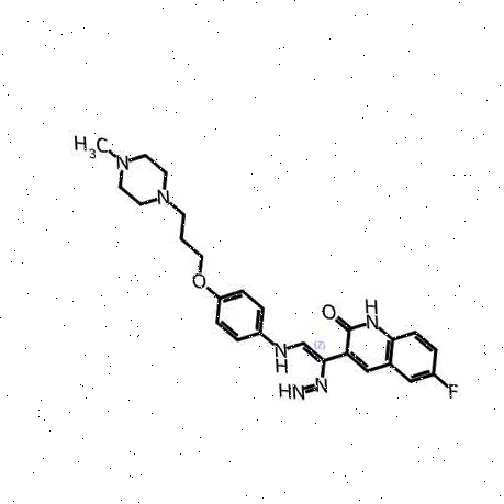 CN1CCN(CCCOc2ccc(N/C=C(\N=N)c3cc4cc(F)ccc4[nH]c3=O)cc2)CC1